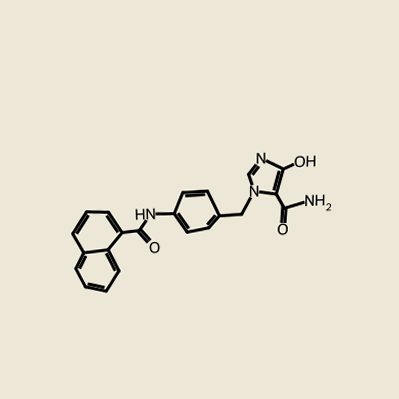 NC(=O)c1c(O)ncn1Cc1ccc(NC(=O)c2cccc3ccccc23)cc1